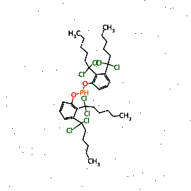 CCCCCC(Cl)(Cl)c1cccc(OPOc2cccc(C(Cl)(Cl)CCCCC)c2C(Cl)(Cl)CCCCC)c1C(Cl)(Cl)CCCCC